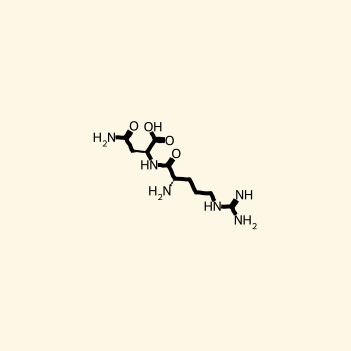 N=C(N)NCCC[C@H](N)C(=O)N[C@@H](CC(N)=O)C(=O)O